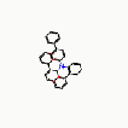 C1=CC[C@@H](N(C2=C(c3ccccc3)CCC=C2)c2ccc(-c3ccccc3)cc2)C(c2ccccc2)=C1